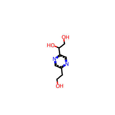 OCCc1cnc(C(O)CO)cn1